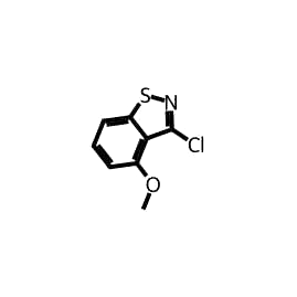 COc1cccc2snc(Cl)c12